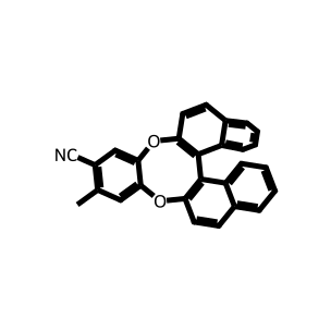 Cc1cc2oc3ccc4ccccc4c3c3c(ccc4ccccc43)oc2cc1C#N